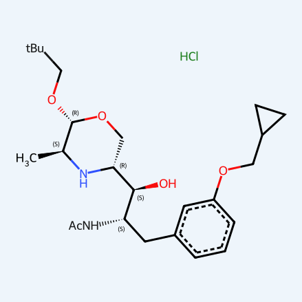 CC(=O)N[C@@H](Cc1cccc(OCC2CC2)c1)[C@H](O)[C@H]1CO[C@@H](OCC(C)(C)C)[C@H](C)N1.Cl